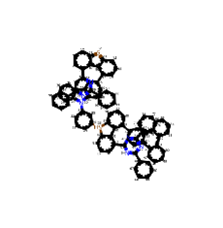 c1ccc(-c2cc(-c3cccc4sc5cccc(-c6ccc7c(c6)c6ccccc6n7-c6cccc([SH]7c8cccc(-c9ccc%10c%11ccccc%11c%11ccccc%11c%10c9)c8-c8c(-c9nc(-c%10ccccc%10)nc(-c%10ccccc%10)n9)cccc87)c6)c5c34)nc(-c3ccccc3)n2)cc1